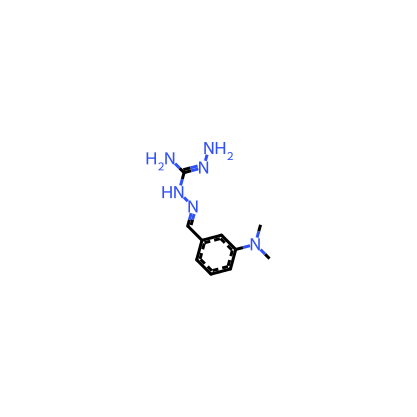 CN(C)c1cccc(C=NNC(N)=NN)c1